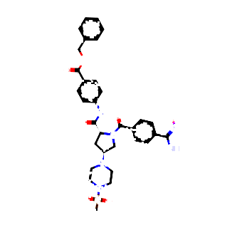 CS(=O)(=O)N1CCN([C@H]2C[C@@H](C(=O)Nc3ccc(C(=O)OCc4ccccc4)cc3)N(C(=O)c3ccc(/C(N)=N\O)cc3)C2)CC1